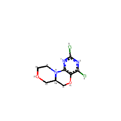 Clc1nc(Cl)c2c(n1)N1CCOCC1CO2